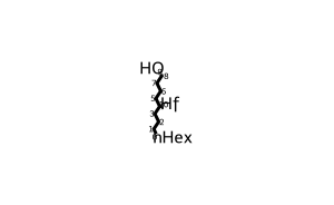 CCCCCCCCCCCCCCO.[Hf]